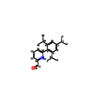 CC(C)c1cc(C(C)C)c(-c2cccc(C=O)n2)c(C(C)C)c1